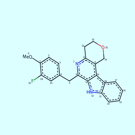 COc1ccc(Cc2nc3c(c4c2[nH]c2ccccc24)COCC3)cc1F